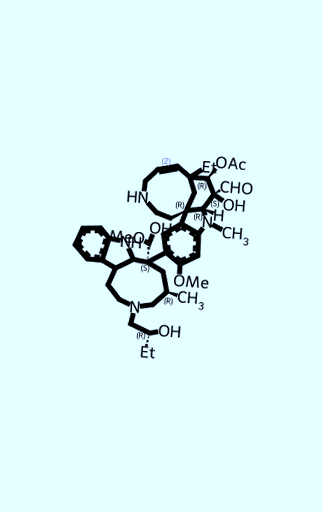 CC[C@@H](O)CN1CCC2c3ccccc3NC2[C@](c2cc3c(cc2OC)N(C)[C@@H]2[C@]34CCNC/C=C\C(CC)(C4)[C@@H](OC(C)=O)[C@]2(O)C=O)(C(O)OC)C[C@@H](C)C1